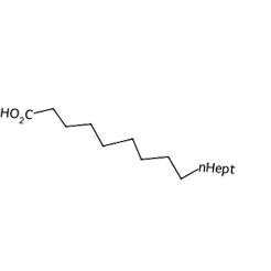 CCCCCCCCCCCCCCC[11C](=O)O